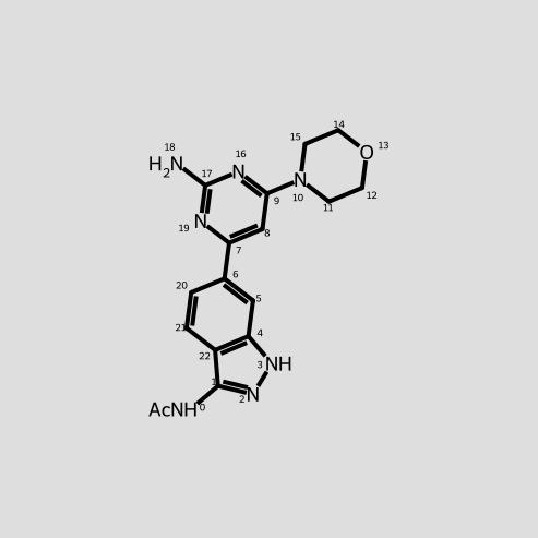 CC(=O)Nc1n[nH]c2cc(-c3cc(N4CCOCC4)nc(N)n3)ccc12